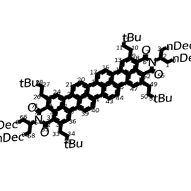 CCCCCCCCCCCC(CCCCCCCCCCC)N1C(=O)c2c(CCC(C)(C)C)cc3c4ccc5c6ccc7c8cc(CCC(C)(C)C)c9c%10c(c(CCC(C)(C)C)cc(c%11ccc(c%12ccc(c%13cc(CCC(C)(C)C)c(c2c3%13)C1=O)c4c5%12)c6c7%11)c%108)C(=O)N(C(CCCCCCCCCCC)CCCCCCCCCCC)C9=O